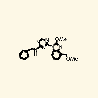 COCc1cccc2c1nc(OC)n2-c1ncnc(NCc2ccccc2)n1